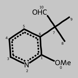 COc1ncccc1C(C)(C)C=O